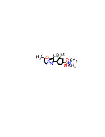 CCOC(=O)c1c(-c2ccc(S(=O)(=O)N(C)C)cc2F)nn2c1O[C@H](C)CC2